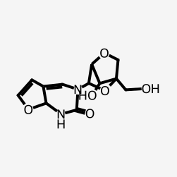 O=C1NC2OC=CC2=CN1C1OC2(CO)COC1C2O